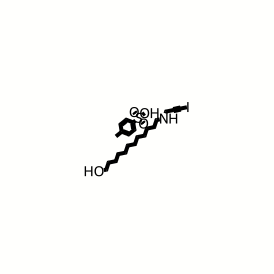 Cc1ccc(S(=O)(=O)O)cc1.OCCCCCCCCCCCCNCC#CI